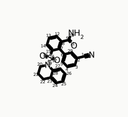 N#Cc1cccc(-c2c(C(N)=O)cccc2S(=O)(=O)N2CCCc3ccccc32)c1